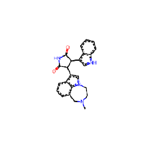 CN1CCn2cc(C3C(=O)NC(=O)C3c3c[nH]c4ccccc34)c3cccc(c32)C1